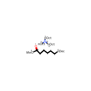 CCCCCCCCCCCCCCCC(=O)OC.CCCCCCCCN(CCCCCCCC)CCCCCCCC